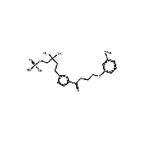 COc1cccc(OCCCC(=O)c2ccc(CCC(C)(N)COP(=O)(O)O)s2)c1